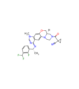 C[C@@H](/N=c1\ncn(C)c2cc3c(cc12)N1CCN(C(=O)C2(C#N)CC2)C[C@@H]1CO3)c1cccc(C(F)F)c1F